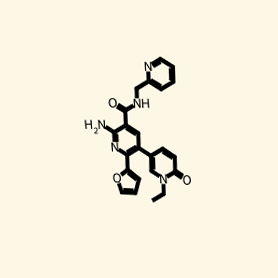 CCn1cc(-c2cc(C(=O)NCc3ccccn3)c(N)nc2-c2ccco2)ccc1=O